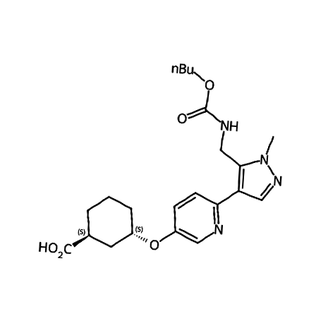 CCCCOC(=O)NCc1c(-c2ccc(O[C@H]3CCC[C@H](C(=O)O)C3)cn2)cnn1C